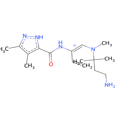 C=C/C(=C\N(C)C(C)(C)CCN)NC(=O)c1[nH]nc(C)c1C